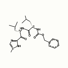 CC(C)C[C@H](NC(=O)OCc1ccccc1)C(=O)N[C@@H](CC(C)C)C(=O)C1=NC=S(C)N1